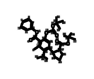 Cc1c(C(=O)Oc2ccccc2)c(OC(=O)OC(C)(C)C)cc(C2CCCN2C(=O)OC(C)(C)C)c1N(C)C